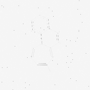 OC1=CC=CC2C(=C1)C=Cc1ccccc12